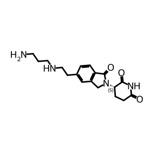 NCCCNCCc1ccc2c(c1)CN([C@H]1CCC(=O)NC1=O)C2=O